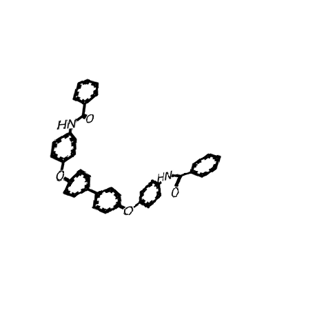 O=C(Nc1ccc(Oc2ccc(-c3ccc(Oc4ccc(NC(=O)c5ccccc5)cc4)cc3)cc2)cc1)c1ccccc1